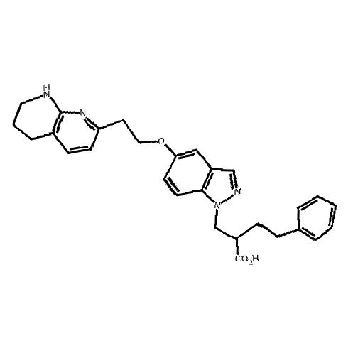 O=C(O)C(CCc1ccccc1)Cn1ncc2cc(OCCc3ccc4c(n3)NCCC4)ccc21